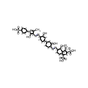 Cc1nn(-c2ccc(S(=O)(=O)O)cc2)c(O)c1/N=N/c1ccc(-c2ccc(/N=N/c3ccc4c(S(=O)(=O)O)cc(S(=O)(=O)O)c(N)c4c3O)c(O)c2)cc1O